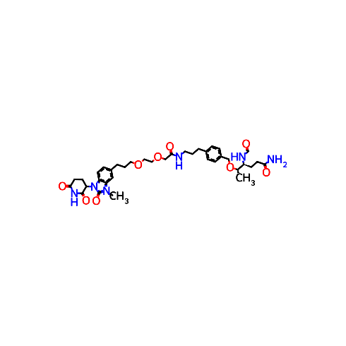 C[C@@H](OCc1ccc(CCCNC(=O)COCCOCCCc2ccc3c(c2)n(C)c(=O)n3C2CCC(=O)NC2=O)cc1)[C@H](CCC(N)=O)NC=O